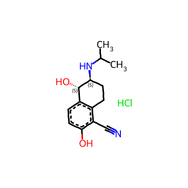 CC(C)N[C@H]1CCc2c(ccc(O)c2C#N)[C@@H]1O.Cl